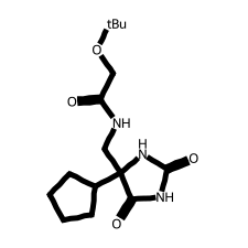 CC(C)(C)OCC(=O)NCC1(C2CCCC2)NC(=O)NC1=O